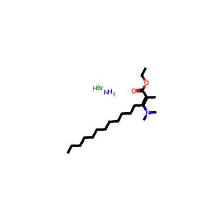 Br.CCCCCCCCCCCCC(=C(C)C(=O)OCC)N(C)C.N